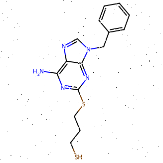 Nc1nc(SCCCS)nc2c1ncn2Cc1ccccc1